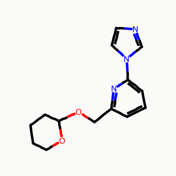 c1cc(COC2CCCCO2)nc(-n2ccnc2)c1